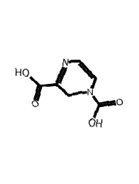 O=C(O)C1=NC=CN(C(=O)O)C1